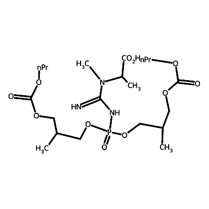 CCCOC(=O)OCC(C)COP(=O)(NC(=N)N(C)C(C)C(=O)O)OCC(C)COC(=O)OCCC